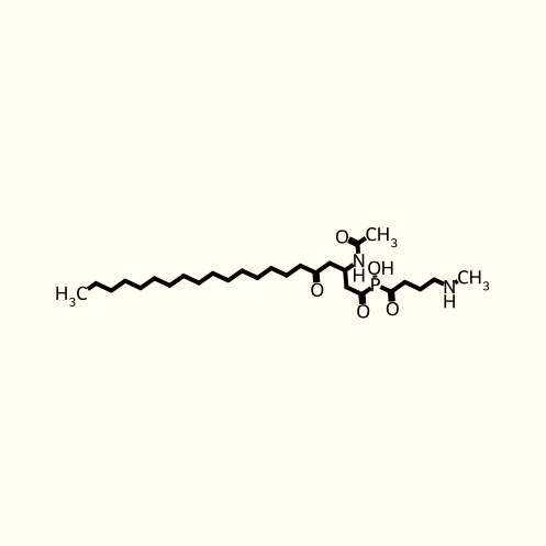 CCCCCCCCCCCCCCCCC(=O)CC(CC(=O)P(O)C(=O)CCCNC)NC(C)=O